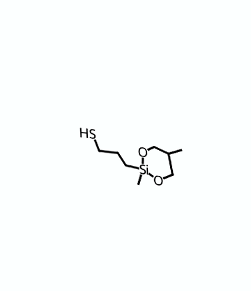 CC1CO[Si](C)(CCCS)OC1